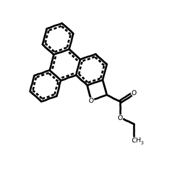 CCOC(=O)C1Oc2c1ccc1c3ccccc3c3ccccc3c21